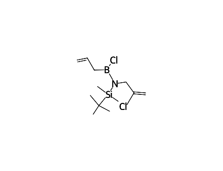 C=CCB(Cl)N(CC(=C)Cl)[Si](C)(C)C(C)(C)C